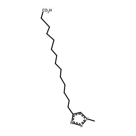 Cn1cc(CCCCCCCCCCCCCC(=O)O)nn1